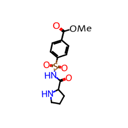 COC(=O)c1ccc(S(=O)(=O)NC(=O)C2CCCN2)cc1